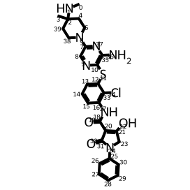 CNC1(C)CCN(c2cnc(Sc3cccc(NC(=O)C4=C(O)CN(c5ccccc5)C4=O)c3Cl)c(N)n2)CC1